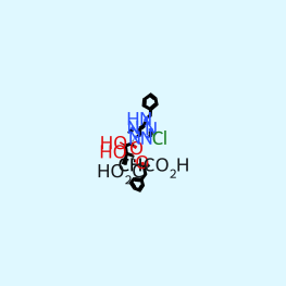 C#C[C@@]1(O)[C@@H](COC(Cc2ccccc2)(C(=O)O)C(=O)O)O[C@@H](n2cnc3c(NCc4ccccc4)nc(Cl)nc32)[C@@H]1O